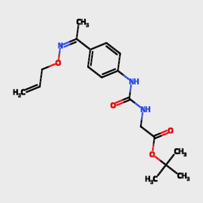 C=CCO/N=C(/C)c1ccc(NC(=O)NCC(=O)OC(C)(C)C)cc1